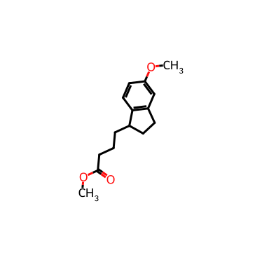 COC(=O)CCCC1CCc2cc(OC)ccc21